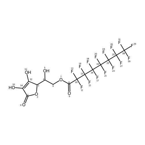 O=C1OC(C(O)COC(=O)C(F)(F)C(F)(F)C(F)(F)C(F)(F)C(F)(F)C(F)(F)C(F)(F)F)C(O)=C1O